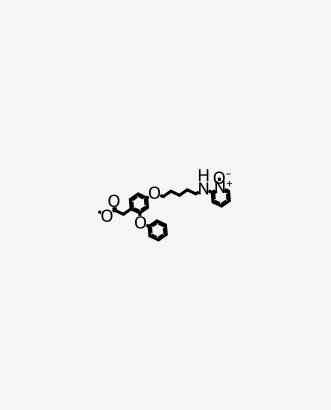 COC(=O)Cc1ccc(OCCCCCNc2cccc[n+]2[O-])cc1Oc1ccccc1